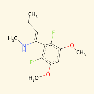 CC/C=C(\NC)c1c(F)c(OC)cc(OC)c1F